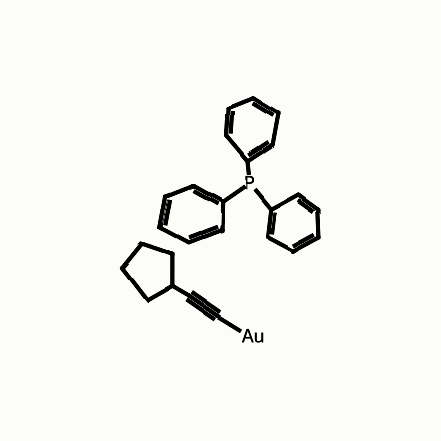 [Au][C]#CC1CCCC1.c1ccc(P(c2ccccc2)c2ccccc2)cc1